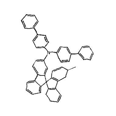 CC1C=CC2=C(C1)C1=C(CCC=C1)C21c2ccccc2-c2ccc(N(c3ccc(-c4ccccc4)cc3)c3ccc(-c4ccccc4)cc3)cc21